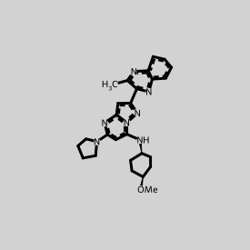 CO[C@H]1CC[C@@H](Nc2cc(N3CCCC3)nc3cc(-c4nc5ccccc5nc4C)nn23)CC1